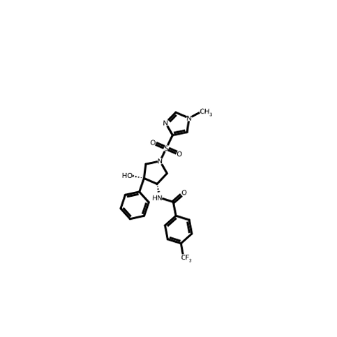 Cn1cnc(S(=O)(=O)N2C[C@H](NC(=O)c3ccc(C(F)(F)F)cc3)[C@@](O)(c3ccccc3)C2)c1